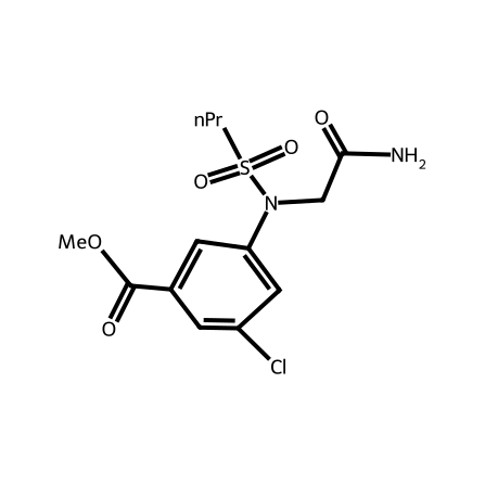 CCCS(=O)(=O)N(CC(N)=O)c1cc(Cl)cc(C(=O)OC)c1